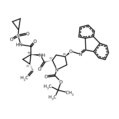 C=C[C@@H]1C[C@]1(NC(=O)[C@@H]1C[C@@H](ON=C2c3ccccc3-c3ccccc32)CN1C(=O)OC(C)(C)C)C(=O)NS(=O)(=O)C1CC1